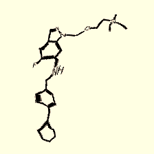 C[Si](C)(C)CCOCn1ncc2cc(F)c(NCc3ccc(C4CCCCC4)cc3)cc21